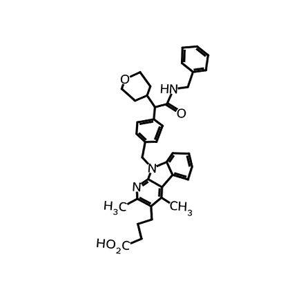 Cc1nc2c(c(C)c1CCCC(=O)O)c1ccccc1n2Cc1ccc(C(C(=O)NCc2ccccc2)C2CCOCC2)cc1